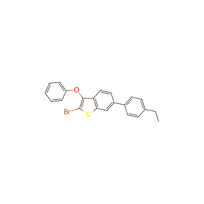 CCc1ccc(-c2ccc3c(Oc4ccccc4)c(Br)sc3c2)cc1